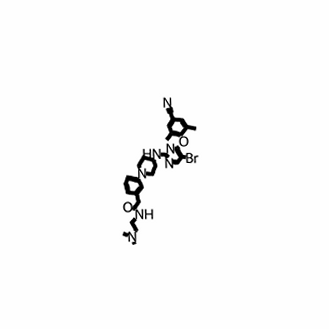 Cc1cc(C#N)cc(C)c1Oc1nc(NC2CCN(c3cccc(CC(=O)NCCN(C)C)c3)CC2)ncc1Br